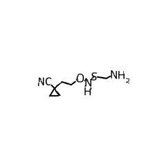 N#CC1(CCONSCN)CC1